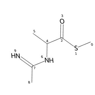 CSC(=O)C(C)NC(C)=N